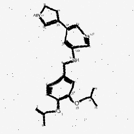 CC(C)Oc1ccc(CNc2cncc(C3=CNCC3)c2)cc1OC(C)C